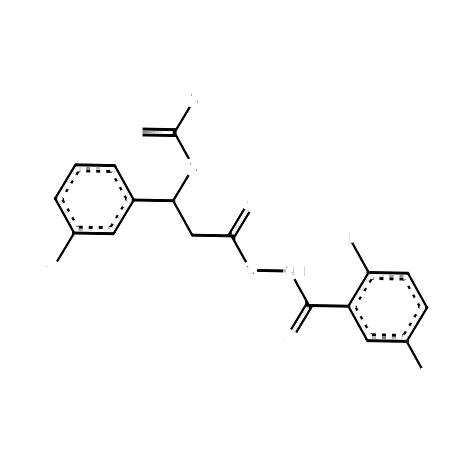 NC(=O)NC(CC(=O)NNC(=O)c1cc(Cl)ccc1Cl)c1cccc(Br)c1